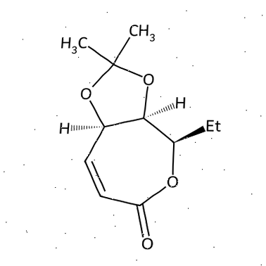 CC[C@H]1OC(=O)C=C[C@H]2OC(C)(C)O[C@H]21